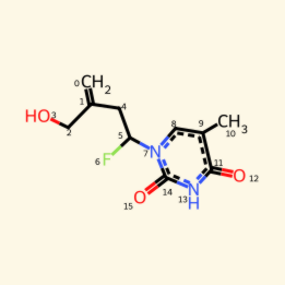 C=C(CO)CC(F)n1cc(C)c(=O)[nH]c1=O